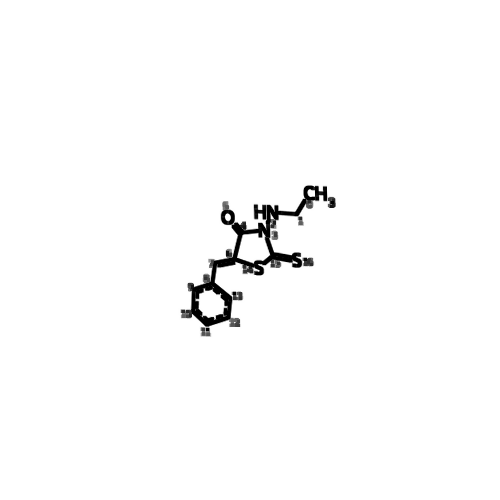 CCNN1C(=O)C(=Cc2ccccc2)SC1=S